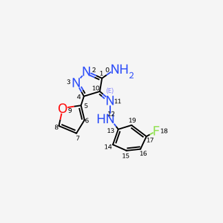 NC1=NN=C(c2ccco2)/C1=N\Nc1cccc(F)c1